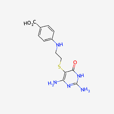 Nc1nc(N)c(SCCNc2ccc(C(=O)O)cc2)c(=O)[nH]1